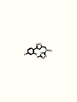 CC(=O)N(CC1CC(c2ccc(F)cc2F)=NO1)c1nnc(C)s1